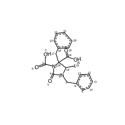 O=C(O)N1C(=O)N(Cc2ccccc2)C(I)C1(Cc1ccccc1)C(=O)O